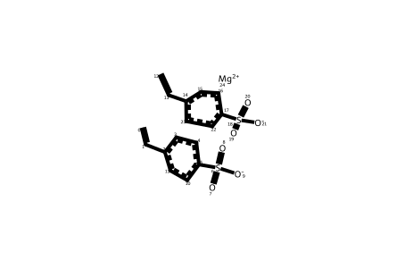 C=Cc1ccc(S(=O)(=O)[O-])cc1.C=Cc1ccc(S(=O)(=O)[O-])cc1.[Mg+2]